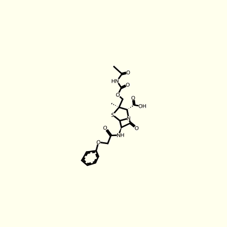 CC(=O)NC(=O)OC[C@]1(C)SC2[C@H](NC(=O)COc3ccccc3)C(=O)N2[C@H]1C(=O)O